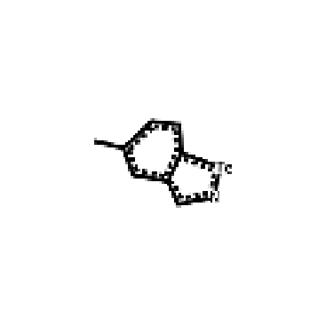 Cc1ccc2[te]ncc2c1